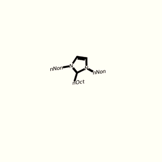 CCCCCCCCCN1C=CN(CCCCCCCCC)C1CCCCCCCC